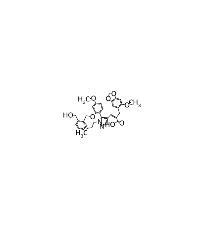 CCCCn1ncc(C=C(Cc2cc3c(cc2OC)OCO3)C(=O)O)c1-c1ccc(OC)cc1OCc1ccccc1CO